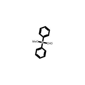 CO[Si](C=O)(c1ccccc1)c1ccccc1